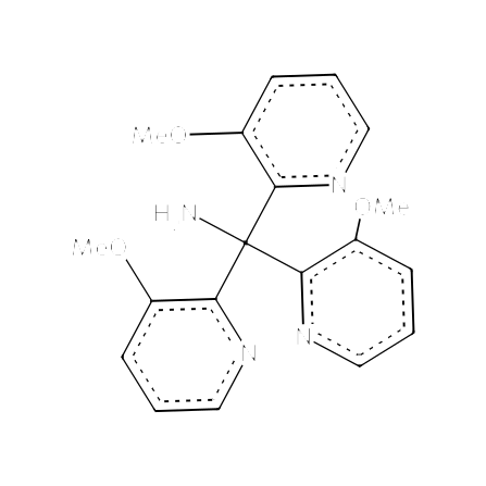 COc1cccnc1C(N)(c1ncccc1OC)c1ncccc1OC